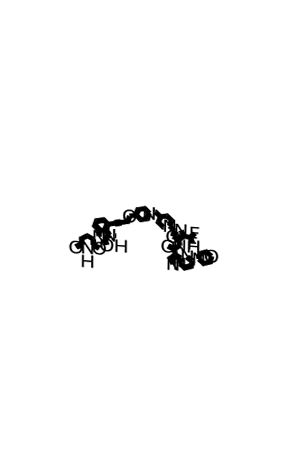 CN1c2c(C#CCOC3CCN(CC4CCN(c5nc(C(F)F)c(NC(=O)c6cnn7ccc(N8CCOCC8)nc67)o5)CC4)CC3)cccc2N(C2CCC(=O)NC2=O)C1O